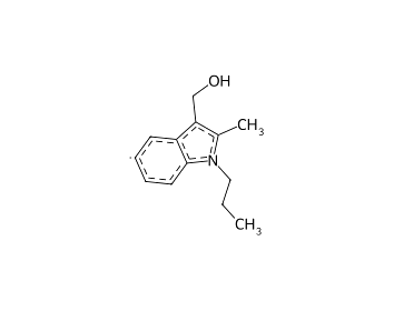 CCCn1c(C)c(CO)c2c[c]ccc21